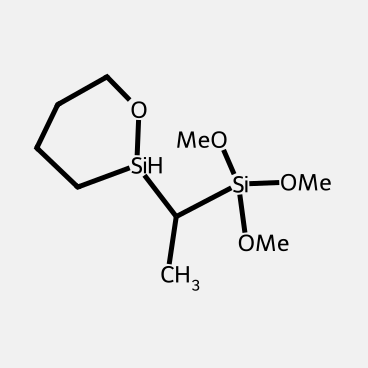 CO[Si](OC)(OC)C(C)[SiH]1CCCCO1